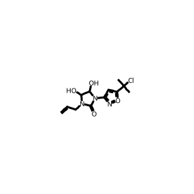 C=CCN1C(=O)N(c2cc(C(C)(C)Cl)on2)C(O)C1O